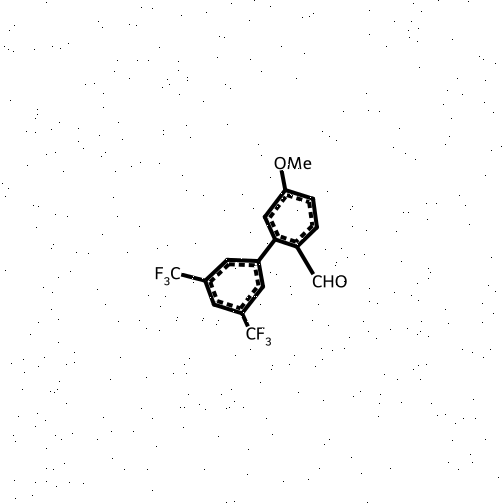 COc1ccc(C=O)c(-c2cc(C(F)(F)F)cc(C(F)(F)F)c2)c1